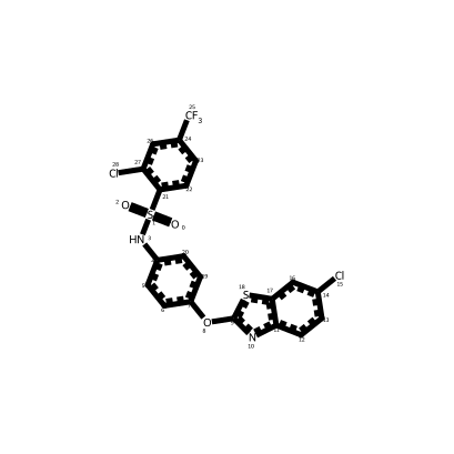 O=S(=O)(Nc1ccc(Oc2nc3ccc(Cl)cc3s2)cc1)c1ccc(C(F)(F)F)cc1Cl